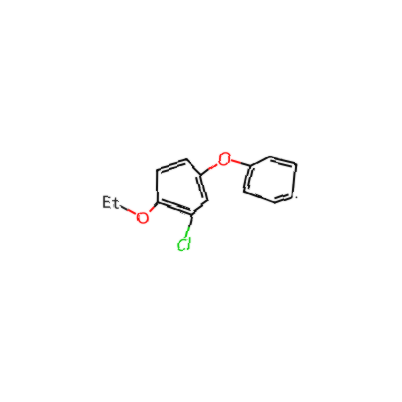 CCOc1ccc(Oc2cc[c]cc2)cc1Cl